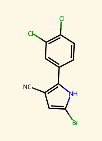 N#Cc1cc(Br)[nH]c1-c1ccc(Cl)c(Cl)c1